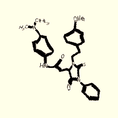 COc1ccc(CCN2C(=S)N(c3ccccc3)C(=O)C2CC(=O)Nc2ccc(N(C)C)cc2)cc1